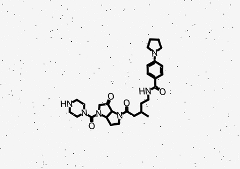 CC(CCNC(=O)c1ccc(N2CCCC2)cc1)CC(=O)N1CCC2C1C(=O)CN2C(=O)N1CCNCC1